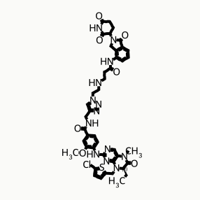 CC[C@@H]1C(=O)N(C)c2cnc(Nc3ccc(C(=O)NCc4cn(CCNCCC(=O)Nc5cccc6c5CN(C5CCC(=O)NC5=O)C6=O)nn4)cc3OC)nc2N1Cc1ccc(Cl)s1